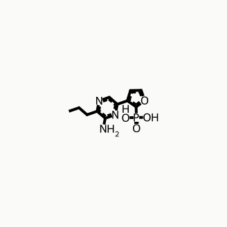 CCCc1ncc(-c2ccoc2P(=O)(O)O)nc1N